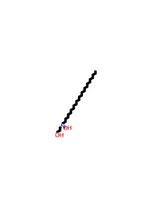 CCCCCCCCCCCCCCCCCCCCCCCCCN(O)CCCO